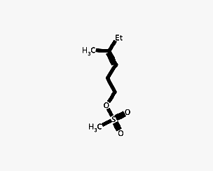 CCC(C)=CCCOS(C)(=O)=O